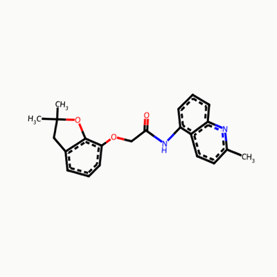 Cc1ccc2c(NC(=O)COc3cccc4c3OC(C)(C)C4)cccc2n1